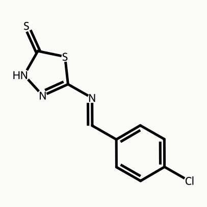 S=c1[nH]nc(/N=C/c2ccc(Cl)cc2)s1